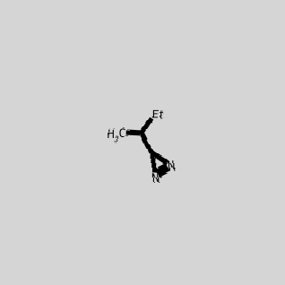 CCC(C)C1N=N1